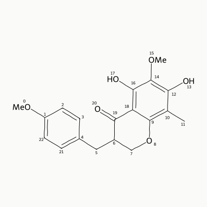 COc1ccc(CC2COc3c(C)c(O)c(OC)c(O)c3C2=O)cc1